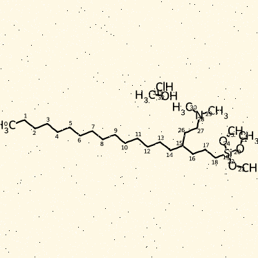 CCCCCCCCCCCCCCCC(CCC[Si](OC)(OC)OC)CCN(C)C.CO.Cl